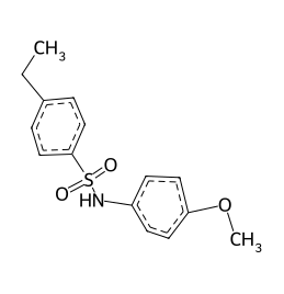 CCc1ccc(S(=O)(=O)Nc2ccc(OC)cc2)cc1